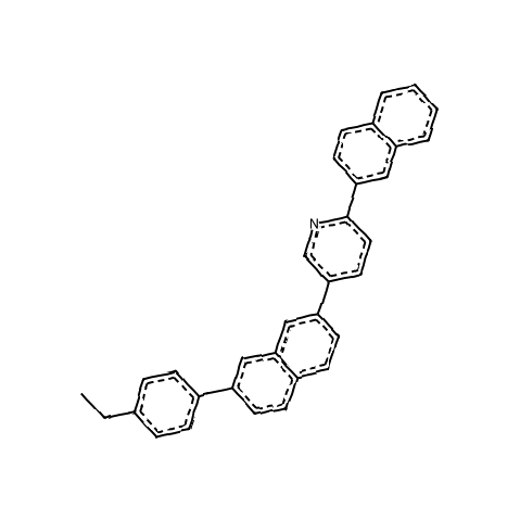 CCc1ccc(-c2ccc3ccc(-c4ccc(-c5ccc6ccccc6c5)nc4)cc3c2)cc1